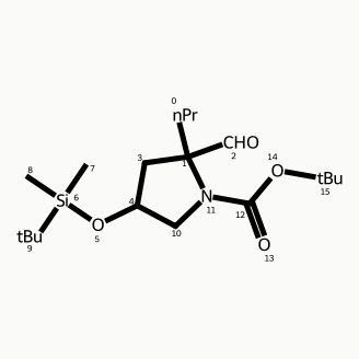 CCCC1(C=O)CC(O[Si](C)(C)C(C)(C)C)CN1C(=O)OC(C)(C)C